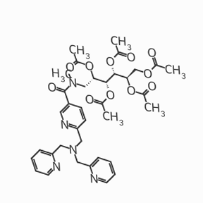 CC(=O)OC[C@@H](OC(C)=O)[C@@H](OC(C)=O)[C@H](OC(C)=O)[C@H](CN(C)C(=O)c1ccc(CN(Cc2ccccn2)Cc2ccccn2)nc1)OC(C)=O